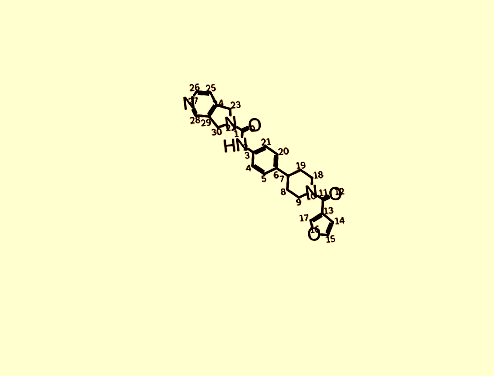 O=C(Nc1ccc(C2CCN(C(=O)c3ccoc3)CC2)cc1)N1Cc2ccncc2C1